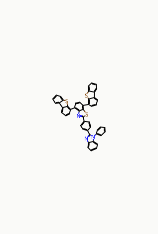 c1ccc(-n2c(-c3ccc(-c4nc5c(-c6cccc7c6sc6ccccc67)ccc(-c6cccc7c6sc6ccccc67)c5s4)cc3)nc3ccccc32)cc1